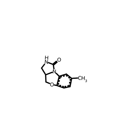 Cc1ccc2c(c1)N1C(=O)NCC1CO2